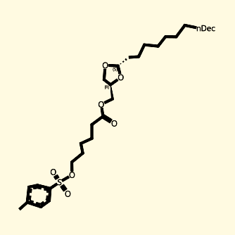 CCCCCCCCCCCCCCCCC[C@H]1OC[C@H](COC(=O)CCCCCOS(=O)(=O)c2ccc(C)cc2)O1